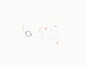 O=C(O)CN1CCN(CC(=O)O)CCN(CC(CCCc2ccc(N=C=S)cc2)N(CC(=O)O)CC(=O)O)CC1